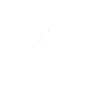 NC(=S)N1CCOC[C@@H]1Cc1c[nH]c2ccc(OCC3CC3)cc12